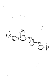 COc1cc(Nc2cccc(Nc3cccc(C(F)(F)F)c3)n2)ccc1-n1cnc(C)c1